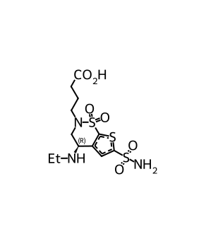 CCN[C@H]1CN(CCCC(=O)O)S(=O)(=O)c2sc(S(N)(=O)=O)cc21